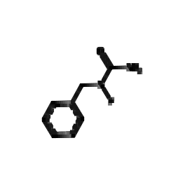 NC(=O)N(F)Cc1ccccc1